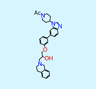 CC(=O)N1CCC(n2cnc3ccc(-c4cccc(OCC(O)CN5CCc6ccccc6C5)c4)cc32)CC1